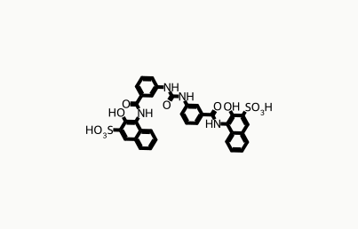 O=C(Nc1cccc(C(=O)Nc2c(O)c(S(=O)(=O)O)cc3ccccc23)c1)Nc1cccc(C(=O)Nc2c(O)c(S(=O)(=O)O)cc3ccccc23)c1